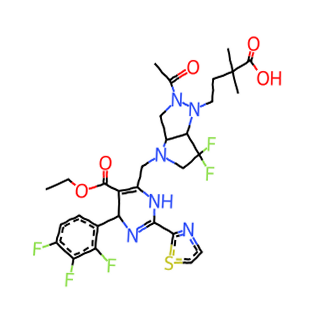 CCOC(=O)C1=C(CN2CC(F)(F)C3C2CN(C(C)=O)N3CCC(C)(C)C(=O)O)NC(c2nccs2)=NC1c1ccc(F)c(F)c1F